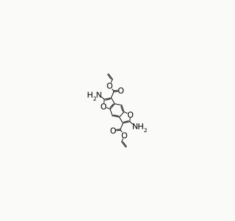 C=COC(=O)c1c(N)oc2cc3c(C(=O)OC=C)c(N)oc3cc12